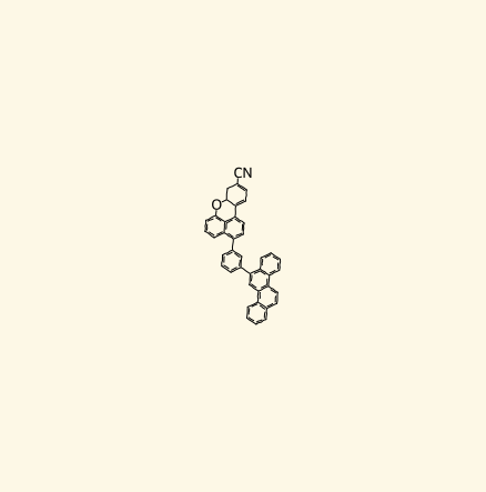 N#CC1=CC=C2c3ccc(-c4cccc(-c5cc6c7ccccc7ccc6c6ccccc56)c4)c4cccc(c34)OC2C1